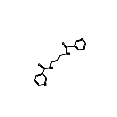 O=C(NCCCNC(=O)c1cccnc1)c1cccnc1